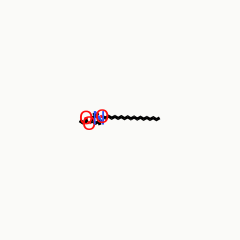 C=CC(=O)OC1CC(C)(C)N(OCCCCCCCCCCCCCCCCCC)C(C)(C)C1